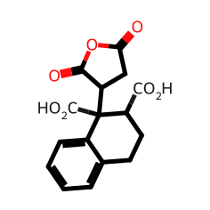 O=C1CC(C2(C(=O)O)c3ccccc3CCC2C(=O)O)C(=O)O1